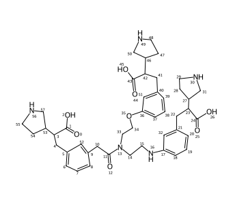 O=C(O)C(Cc1cccc(CC(=O)N(CCNc2cccc(CC(C(=O)O)C3CCNC3)c2)CCOc2cccc(CC(C(=O)O)C3CCNC3)c2)c1)C1CCNC1